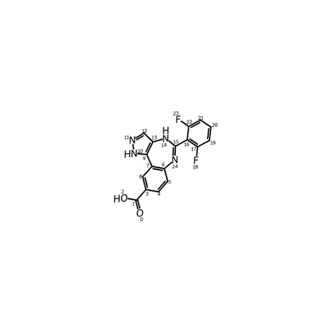 O=C(O)c1ccc2c(c1)-c1[nH]ncc1NC(c1c(F)cccc1F)=N2